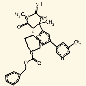 CN1C(=N)N[C@](C)(c2cc(-c3cncc(C#N)c3)cs2)[C@H](C2CCN(C(=O)OCc3ccccc3)CC2)C1=O